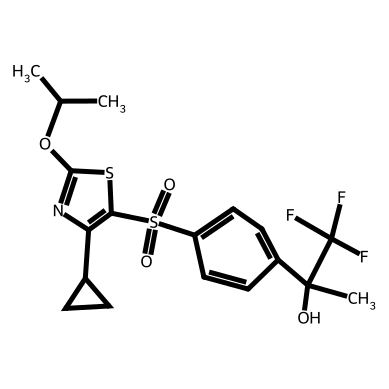 CC(C)Oc1nc(C2CC2)c(S(=O)(=O)c2ccc(C(C)(O)C(F)(F)F)cc2)s1